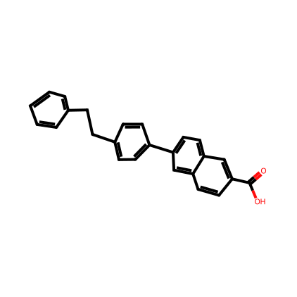 O=C(O)c1ccc2cc(-c3ccc(CCc4ccccc4)cc3)ccc2c1